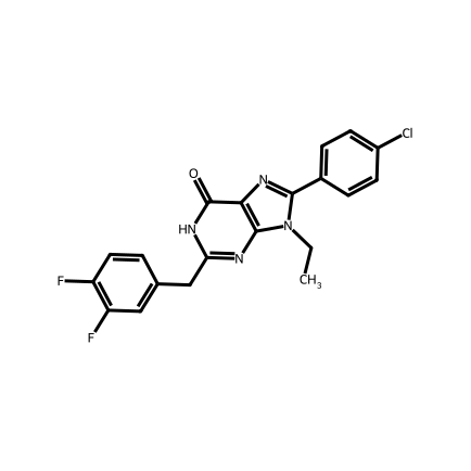 CCn1c(-c2ccc(Cl)cc2)nc2c(=O)[nH]c(Cc3ccc(F)c(F)c3)nc21